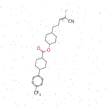 N#C/C(F)=C\CCC1CCC(OC(=O)C2CCC(c3ccc(C(F)(F)F)cc3)CC2)CC1